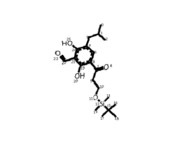 CC(C)Cc1cc(C(=O)CCO[Si](C)(C)C(C)(C)C)c(O)c(C=O)c1O